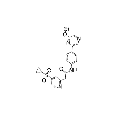 CCOc1cncc(-c2ccc(NC(=O)Cc3cc(S(=O)(=O)C4CC4)ccn3)cc2)n1